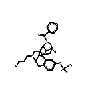 CC(C)[Si](C)(C)Oc1ccc2c(c1)C13CCN(CCCF)C(C2)C12CCC1C3[C@@H](CN1C(=O)c1ccccc1)C2